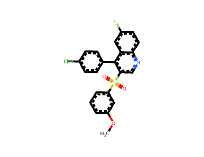 COc1cccc(S(=O)(=O)c2cnc3ccc(F)cc3c2-c2ccc(Cl)cc2)c1